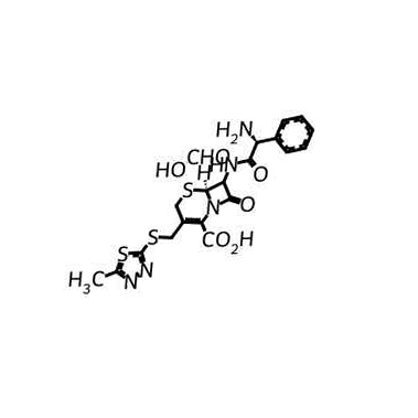 Cc1nnc(SCC2=C(C(=O)O)N3C(=O)C(NC(=O)[C@@H](N)c4ccccc4)[C@@H]3SC2)s1.O=CO